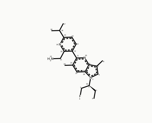 CC[C@@H](CF)n1cc(C)c2nc(-c3ccc(C(C)C)nc3CN)c(C)cc21